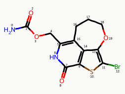 NC(=O)OCc1[nH]c(=O)c2sc(Br)c3c2c1CCCO3